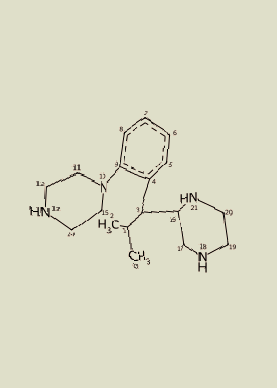 CC(C)C(c1ccccc1N1CCNCC1)C1CNCCN1